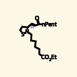 CCCCCC(=O)/C=C/C1CCSN1CCCCCCC(=O)OCC